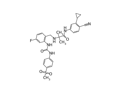 CC(C)(NCc1ccc(F)cc1NC(=O)Nc1ccc(S(C)(=O)=O)cc1)C(=O)Nc1ccc(C#N)c(C2CC2)c1